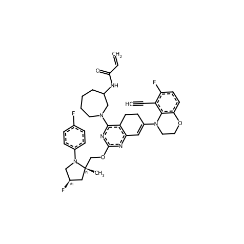 C#Cc1c(F)ccc2c1N(C1=Cc3nc(OC[C@]4(C)C[C@@H](F)CN4c4ccc(F)cc4)nc(N4CCCCC(NC(=O)C=C)C4)c3CC1)CCO2